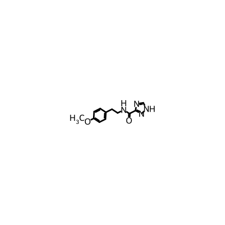 COc1ccc(CCNC(=O)c2nc[nH]n2)cc1